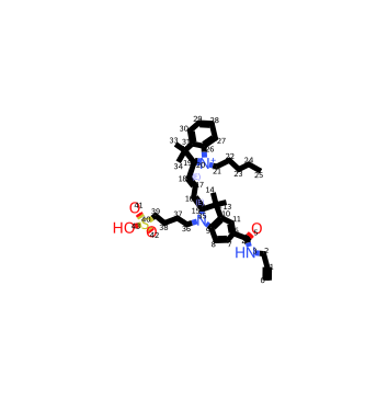 C#CCNC(=O)c1ccc2c(c1)C(C)(C)/C(=C\C=C\C1=[N+](CCCCC)c3ccccc3C1(C)C)N2CCCCS(=O)(=O)O